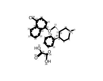 CN1CC[C@@H](c2ccccc2)[C@H](COc2ccc(Cl)c3ccccc23)C1.O=C(O)C(=O)O